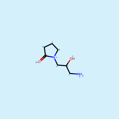 NCC(O)CN1CCCC1=O